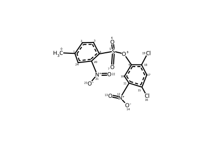 Cc1ccc(S(=O)(=O)Oc2cc([N+](=O)[O-])c(Cl)cc2Cl)c([N+](=O)[O-])c1